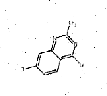 Oc1nc(C(F)(F)F)nc2cc(Cl)ccc12